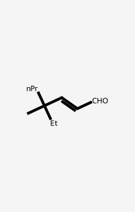 CCCC(C)(/C=C/C=O)CC